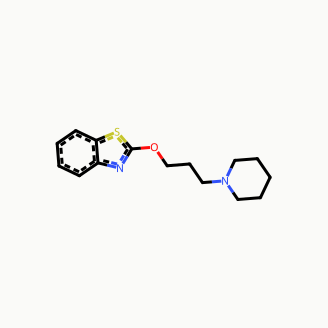 c1ccc2sc(OCCCN3CCCCC3)nc2c1